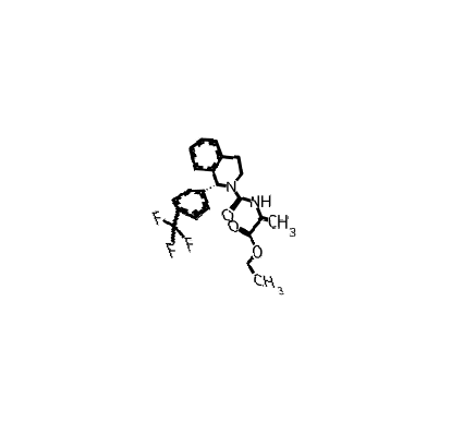 CCOC(=O)C(C)NC(=O)N1CCc2ccccc2[C@H]1c1ccc(C(F)(F)F)cc1